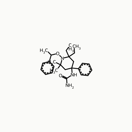 CCC1(CC)CC(NC(N)=O)(c2ccccc2)CC(C)(C)N1OC(C)c1ccccc1